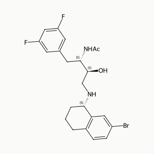 CC(=O)N[C@@H](Cc1cc(F)cc(F)c1)[C@@H](O)CN[C@H]1CCCc2ccc(Br)cc21